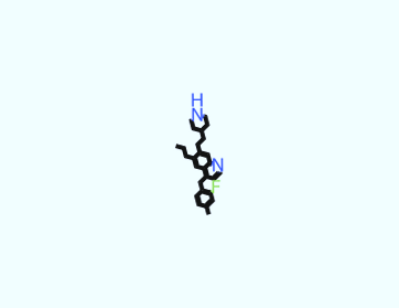 CCCc1cc2c(Cc3ccc(C)cc3F)ccnc2cc1CCC1CCNCC1